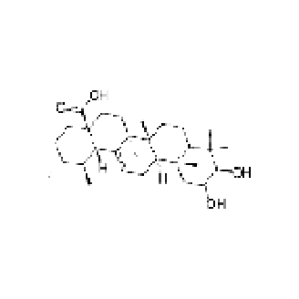 C[C@H]1[C@H](C)CC[C@]2(C(=O)O)CC[C@]3(C)C(=CC[C@@H]4[C@@]5(C)CC(O)[C@H](O)C(C)(C)C5CC[C@]43C)[C@H]12